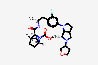 CC(C)(C)OC(=O)N1[C@@H]2CC[C@@H](C2)[C@H]1C(=O)N[C@H](C#N)Cc1ccc(N2CCC3CN(C4CCOC4)CC32)cc1F